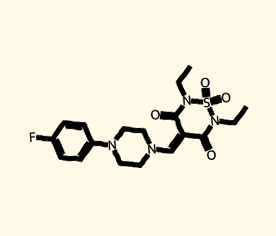 CCN1C(=O)C(=CN2CCN(c3ccc(F)cc3)CC2)C(=O)N(CC)S1(=O)=O